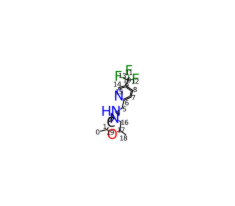 CC1CN(NCc2ccc(C(F)(F)F)cn2)CC(C)O1